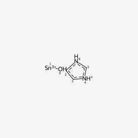 [OH][Sn+3].c1c[nH+]c[nH]1